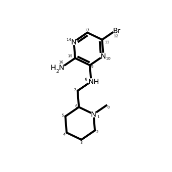 CN1CCCCC1CNc1nc(Br)cnc1N